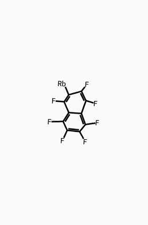 Fc1c(F)c(F)c2c(F)[c]([Rb])c(F)c(F)c2c1F